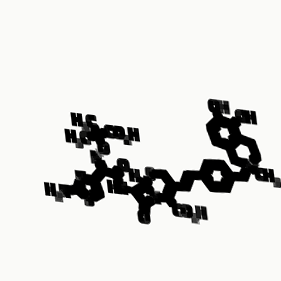 CC(C)(O/N=C(\C(=O)N[C@@H]1C(=O)N2C(C(=O)O)=C(/C=C/c3ccc(C[N+]4(C)CCc5c(ccc(O)c5O)C4)cc3)CS[C@H]12)c1csc(N)n1)C(=O)O